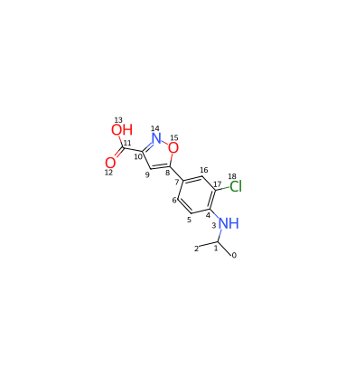 CC(C)Nc1ccc(-c2cc(C(=O)O)no2)cc1Cl